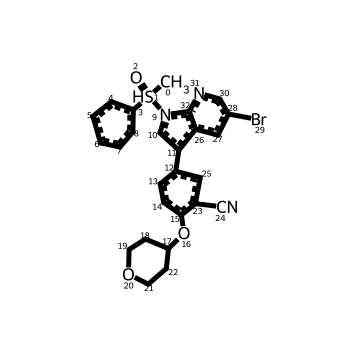 C[SH](=O)(c1ccccc1)n1cc(-c2ccc(OC3CCOCC3)c(C#N)c2)c2cc(Br)cnc21